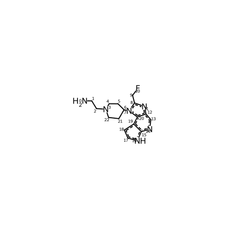 NCCN1CCC(n2c(CF)nc3cnc4[nH]ccc4c32)CC1